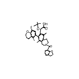 Cc1c(-c2c(C)c3c(c(C)c2[C@H](OC(C)(C)C)C(=O)O)CCN(C(=O)c2cccc4c2OCC4)CC3)cc(F)c2c1CCCO2